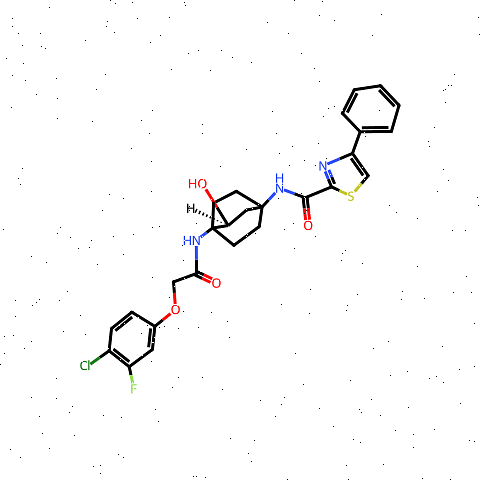 O=C(COc1ccc(Cl)c(F)c1)NC12CCC(NC(=O)c3nc(-c4ccccc4)cs3)(CC1)C[C@@H]2O